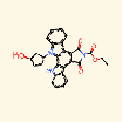 CCOC(=O)N1C(=O)c2c(c3c4ccccc4n(C4C=C[C@@H](O)C4)c3c3[nH]c4ccccc4c23)C1=O